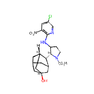 O=C(O)N1CCC(Nc2ncc(Cl)cc2[N+](=O)[O-])[C@H]1C1C2CC3C[C@H]1C[C@@](O)(C3)C2